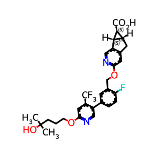 CC(C)(O)CCCOc1cc(C(F)(F)F)c(-c2ccc(F)c(COc3cc4c(cn3)[C@H]3[C@@H](C4)[C@@H]3C(=O)O)c2)cn1